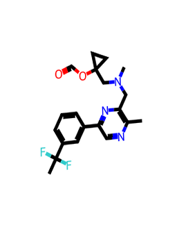 Cc1ncc(-c2cccc(C(C)(F)F)c2)nc1CN(C)CC1(OC=O)CC1